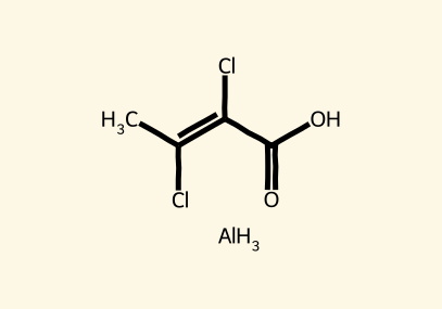 C/C(Cl)=C(\Cl)C(=O)O.[AlH3]